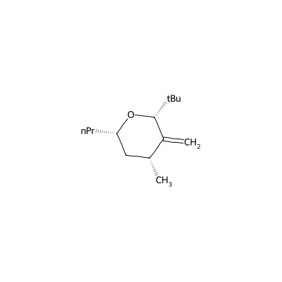 C=C1[C@H](C)C[C@H](CCC)O[C@@H]1C(C)(C)C